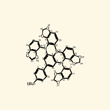 CC(C)(C)c1ccc(-c2cc3c4c(c2)N(c2cccc5c2OCO5)c2c(ccc5c2OCO5)B4c2ccc4c(c2N3c2cccc3c2OCO3)OCO4)cc1